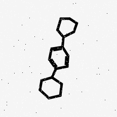 c1cc(C2CCCCC2)ccc1C1CCCCC1